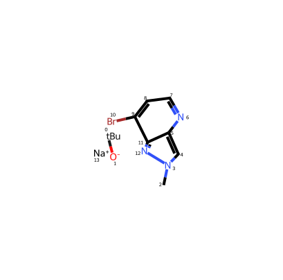 CC(C)(C)[O-].Cn1cc2nccc(Br)c2n1.[Na+]